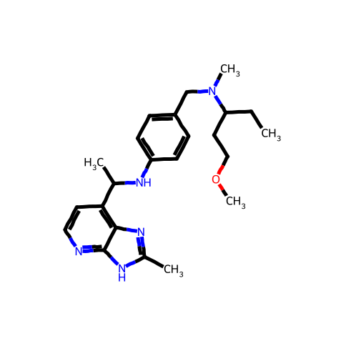 CCC(CCOC)N(C)Cc1ccc(NC(C)c2ccnc3[nH]c(C)nc23)cc1